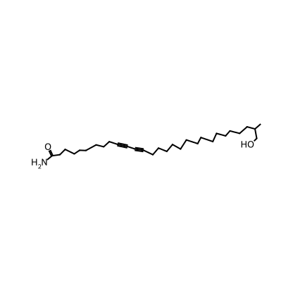 CC(CO)CCCCCCCCCCCCCCC#CC#CCCCCCCCCC(N)=O